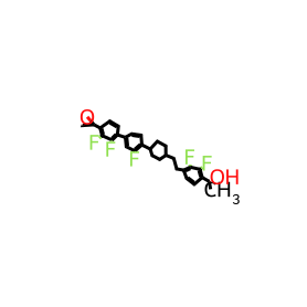 CC(O)c1ccc(CCC2CCC(c3ccc(-c4ccc(C5CO5)c(F)c4F)cc3F)CC2)c(F)c1F